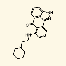 O=C1c2c(NCCN3CCCCC3)cccc2-c2n[nH]c3cccc1c23